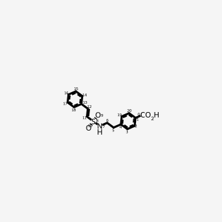 O=C(O)c1ccc(CCNS(=O)(=O)C=Cc2ccccc2)cc1